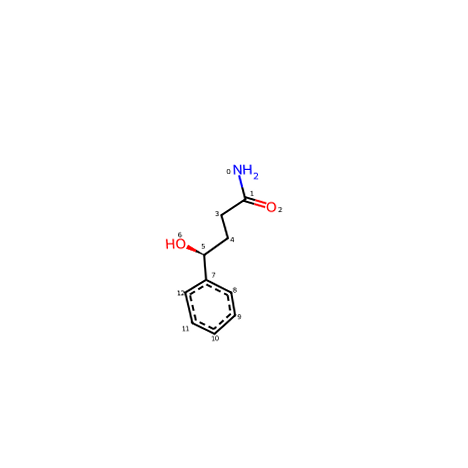 NC(=O)CC[C@H](O)c1ccccc1